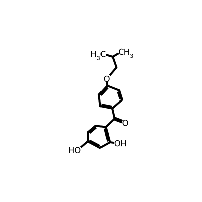 CC(C)COc1ccc(C(=O)c2ccc(O)cc2O)cc1